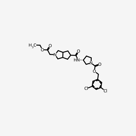 CCOC(=O)CN1CC2CC(C(=O)N[C@@H]3CCN(C(=O)OCc4cc(Cl)cc(Cl)c4)C3)CC2C1